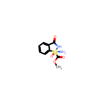 COC(=O)S1(N)(=O)NC(=O)c2ccccc21